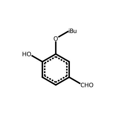 CCC(C)Oc1cc(C=O)ccc1O